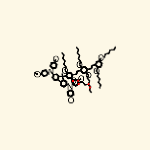 CCCCCCOc1ccc(OCCCCCC)c(/C=C/c2cc(OCCCCCC)c(/C=C/c3cc(OCCCCCC)c(C4(C)c5cc(N(c6ccc(OC)cc6)c6ccc(OC)cc6)ccc5-c5ccc(N(c6ccc(OC)cc6)c6ccc(OC)cc6)cc54)cc3OCCCCCC)cc2OCCCCCC)c1